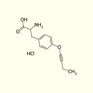 CCC#COc1ccc(CC(N)C(=O)O)cc1.Cl